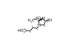 CCN1C=CN(CCCS(=O)(=O)O)C1.CS(=O)(=O)O